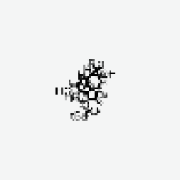 CC1=C[C@]23C(=O)[C@@H](C=C(CO)[C@@H](O)[C@]2(O)[C@H]1OC(=O)C(C)(C)C)[C@@H]1C(C)(C)[C@]1(O)C[C@H]3C